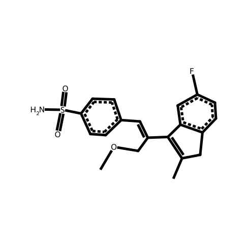 COCC(=Cc1ccc(S(N)(=O)=O)cc1)C1=C(C)Cc2ccc(F)cc21